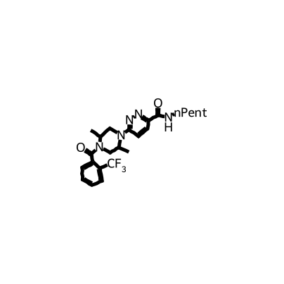 CCCCCNC(=O)c1ccc(N2CC(C)N(C(=O)c3ccccc3C(F)(F)F)CC2C)nn1